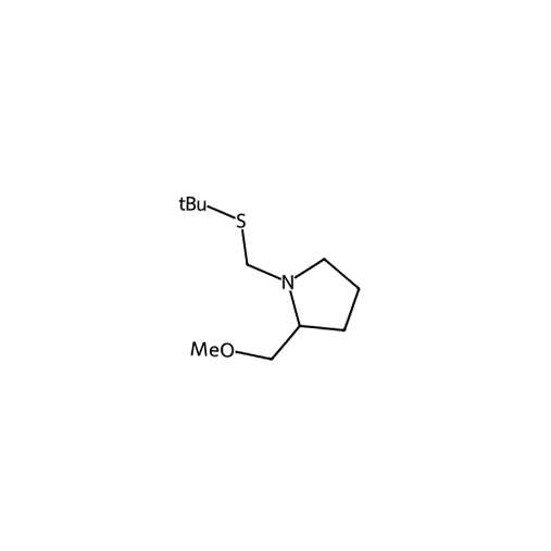 COCC1CCCN1CSC(C)(C)C